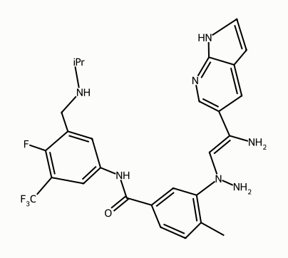 Cc1ccc(C(=O)Nc2cc(CNC(C)C)c(F)c(C(F)(F)F)c2)cc1N(N)/C=C(\N)c1cnc2[nH]ccc2c1